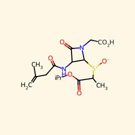 C=C(C)CC(=O)NC1C(=O)N(CC(=O)O)C1[S+]([O-])C(C)C(=O)OC(C)C